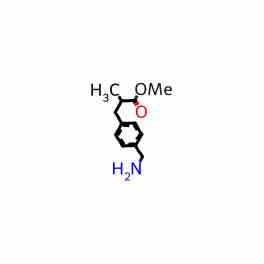 COC(=O)C(C)Cc1ccc(CN)cc1